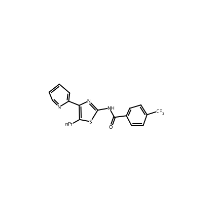 CCCc1sc(NC(=O)c2ccc(C(F)(F)F)cc2)nc1-c1ccccn1